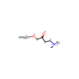 CCCCCCCOCC(=O)CCN(C)C(C)=O